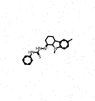 Cc1ccc2c(c1)C1CCC/C(=N\NC(=S)Nc3ccccc3)C1N2C